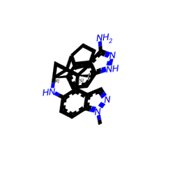 Cn1ncc2c3c(ccc21)N[C@]1(c2ccc4[nH]nc(N)c4c2)CC12C1CCC(C1)[C@H]32